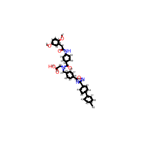 COc1ccc(OC)c(CC(=O)Nc2ccc(C(=O)N(CC(=O)O)Cc3ccc(-c4nc(-c5ccc(-c6ccc(C)cc6)cc5)no4)cc3)cc2)c1